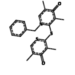 Cc1csc(Sc2c(C)c(=O)c(C)cn2Cc2ccccc2)c(C)c1=O